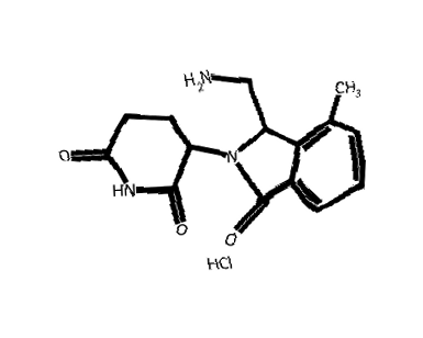 Cc1cccc2c1C(CN)N(C1CCC(=O)NC1=O)C2=O.Cl